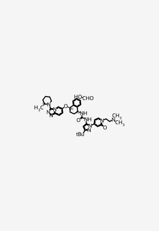 C[C@H]1CCCCN1c1nnc2ccc(O[C@@H]3CC[C@H](NC(=O)Nc4cc(C(C)(C)C)nn4-c4ccn(CCN(C)C)c(=O)c4)c4ccccc43)cn12.O=CO